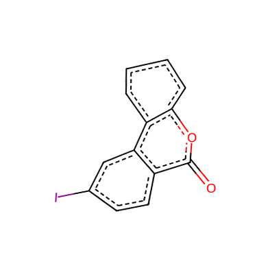 O=c1oc2ccccc2c2cc(I)ccc12